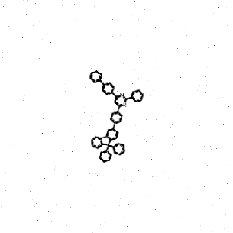 c1ccc(-c2ccc(-c3cc(-c4ccc(-c5ccc6c(c5)-c5ccccc5C6(c5ccccc5)c5ccccc5)cc4)nc(-c4ccccc4)n3)cc2)cc1